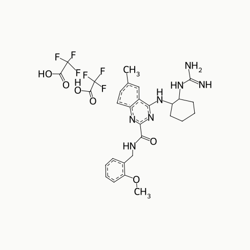 COc1ccccc1CNC(=O)c1nc(NC2CCCCC2NC(=N)N)c2cc(C)ccc2n1.O=C(O)C(F)(F)F.O=C(O)C(F)(F)F